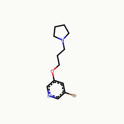 Brc1cncc(OCCCN2CCCC2)c1